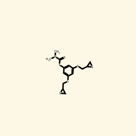 CN(C)C(=S)Sc1cc(SCC2CS2)cc(SCC2CS2)c1